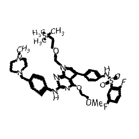 COCCOc1nc(Nc2ccc(CN3CCN(C)CC3)cc2)nc2c1c(-c1ccc(NS(=O)(=O)c3cc(F)ccc3F)cc1)cn2COCC[Si](C)(C)C